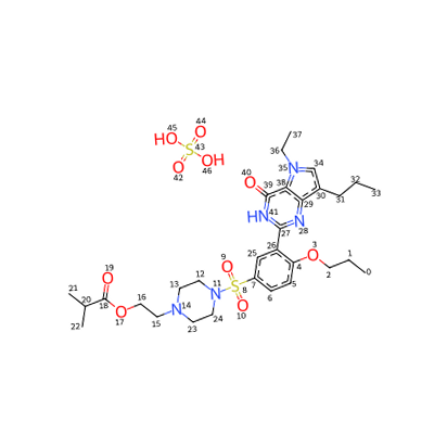 CCCOc1ccc(S(=O)(=O)N2CCN(CCOC(=O)C(C)C)CC2)cc1-c1nc2c(CCC)cn(CC)c2c(=O)[nH]1.O=S(=O)(O)O